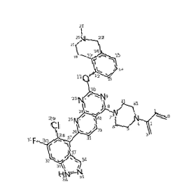 C=CC(=C)N1CCN(c2nc(Oc3cccc4c3CCN(C)C4)nc3nc(-c4c(Cl)c(F)cc5[nH]ncc45)ccc23)CC1